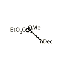 CCCCCCCCCCCCCCCCCCSc1ccc(C(=O)OCC)cc1OC